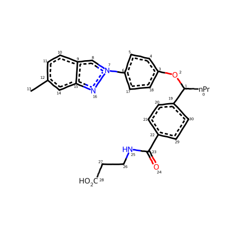 CCCC(Oc1ccc(-n2cc3ccc(C)cc3n2)cc1)c1ccc(C(=O)NCCC(=O)O)cc1